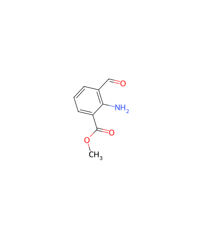 COC(=O)c1cccc(C=O)c1N